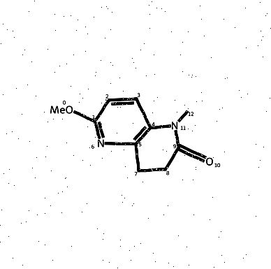 COc1[c]cc2c(n1)CCC(=O)N2C